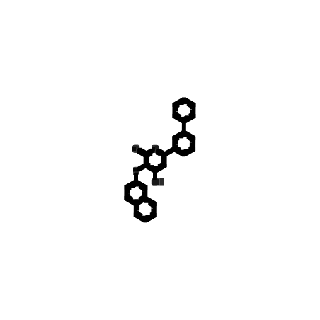 O=c1oc(-c2cccc(-c3ccccc3)c2)cc(O)c1Sc1ccc2ccccc2c1